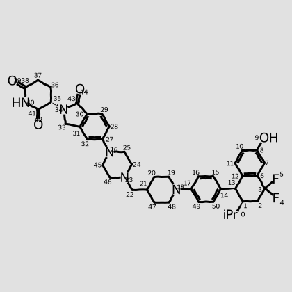 CC(C)[C@@H]1CC(F)(F)c2cc(O)ccc2[C@@H]1c1ccc(N2CCC(CN3CCN(c4ccc5c(c4)CN([C@H]4CCC(=O)NC4=O)C5=O)CC3)CC2)cc1